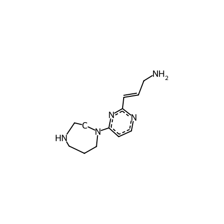 NCC=Cc1nccc(N2CCCNCC2)n1